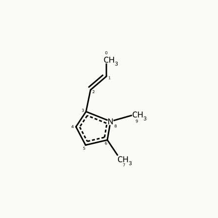 CC=Cc1ccc(C)n1C